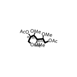 COC[C@@H](OC(C)=O)[C@@H](OC)[C@H](OC)[C@H](COC(C)=O)OC